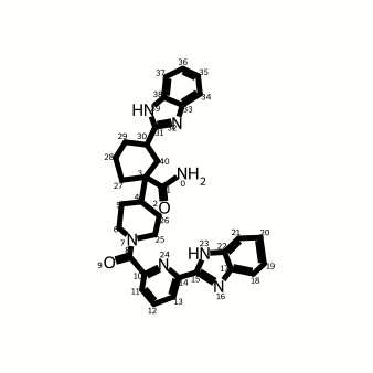 NC(=O)C1(C2CCN(C(=O)c3cccc(-c4nc5ccccc5[nH]4)n3)CC2)CCCC(c2nc3ccccc3[nH]2)C1